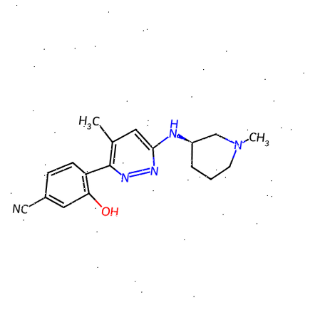 Cc1cc(N[C@@H]2CCCN(C)C2)nnc1-c1ccc(C#N)cc1O